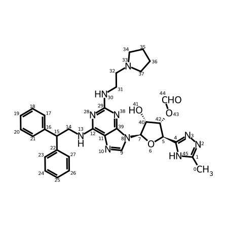 Cc1nnc([C@H]2O[C@@H](n3cnc4c(NCC(c5ccccc5)c5ccccc5)nc(NCCN5CCCC5)nc43)[C@H](O)[C@@H]2OC=O)[nH]1